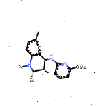 CC[C@H]1[C@H](C)C(Nc2cccc(OC)n2)c2cc(C)ccc2N1C(C)=O